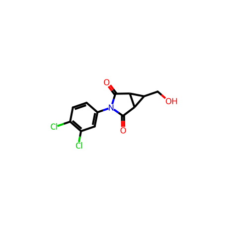 O=C1C2C(CO)C2C(=O)N1c1ccc(Cl)c(Cl)c1